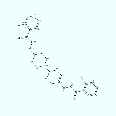 Cc1ccccc1C(=O)OOC1=CCC(C2CCC(OOC(=O)c3ccccc3C)CC2)CC1